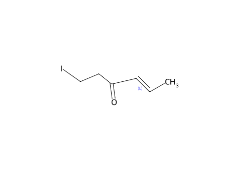 C/C=C/C(=O)CCI